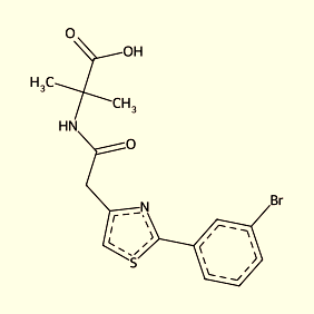 CC(C)(NC(=O)Cc1csc(-c2cccc(Br)c2)n1)C(=O)O